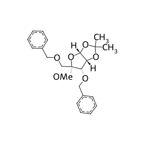 CO[C@]1(COCc2ccccc2)O[C@@H]2OC(C)(C)O[C@@H]2[C@@H]1OCc1ccccc1